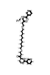 CC(C)C[C@H](NC(=O)c1cccnc1)C(=O)CCSCCCCCCCCCCSCCC(=O)[C@H](CC(C)C)NC(=O)c1cccnc1